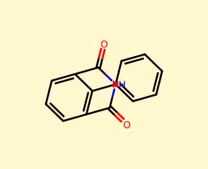 O=C1NC(=O)c2cccc1c2-c1ccccc1